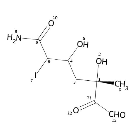 C[C@](O)(CC(O)C(I)C(N)=O)C(=O)C=O